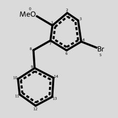 COc1ccc(Br)cc1Cc1ccccc1